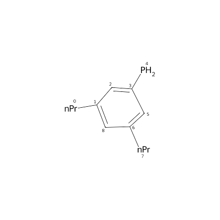 CCCc1cc(P)cc(CCC)c1